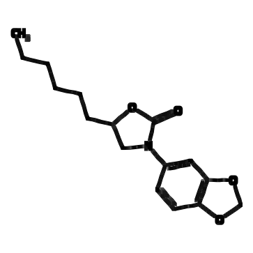 CCCCCCC1CN(c2ccc3c(c2)OCO3)C(=O)O1